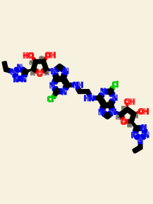 CCn1nnc([C@H]2O[C@@H](n3cnc4c(NCCNc5nc(Cl)nc6c5ncn6[C@@H]5O[C@H](c6nnn(CC)n6)[C@@H](O)[C@H]5O)nc(Cl)nc43)[C@H](O)[C@@H]2O)n1